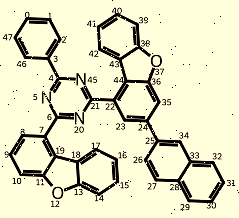 c1ccc(-c2nc(-c3cccc4oc5ccccc5c34)nc(-c3cc(-c4ccc5ccccc5c4)cc4oc5ccccc5c34)n2)cc1